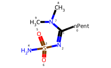 CCCCC/C(=N/S(N)(=O)=O)N(C)C